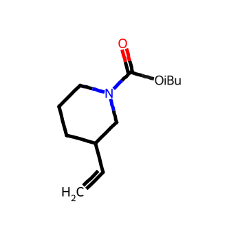 C=CC1CCCN(C(=O)OCC(C)C)C1